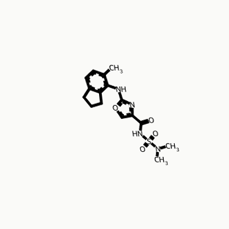 Cc1ccc2c(c1Nc1nc(C(=O)NS(=O)(=O)N(C)C)co1)CCC2